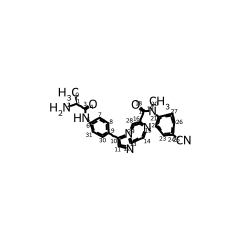 C[C@H](N)C(=O)Nc1ccc(-c2cnc3cnc(C(=O)N(C)c4ccc(C#N)cc4)cn23)cc1